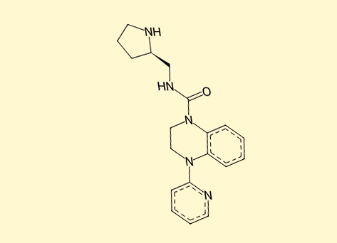 O=C(NC[C@H]1CCCN1)N1CCN(c2ccccn2)c2ccccc21